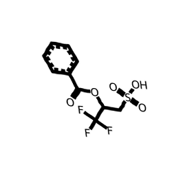 O=C(OC(CS(=O)(=O)O)C(F)(F)F)c1ccccc1